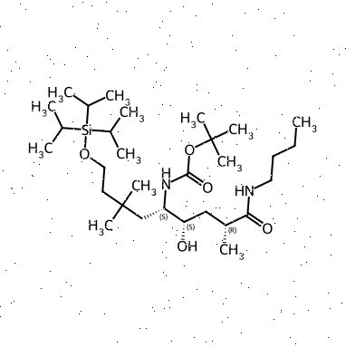 CCCCNC(=O)[C@H](C)C[C@H](O)[C@H](CC(C)(C)CCO[Si](C(C)C)(C(C)C)C(C)C)NC(=O)OC(C)(C)C